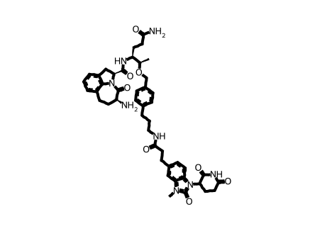 C[C@@H](OCc1ccc(CCCNC(=O)CCc2ccc3c(c2)n(C)c(=O)n3C2CCC(=O)NC2=O)cc1)[C@H](CCC(N)=O)NC(=O)[C@@H]1Cc2cccc3c2N1C(=O)[C@@H](N)CC3